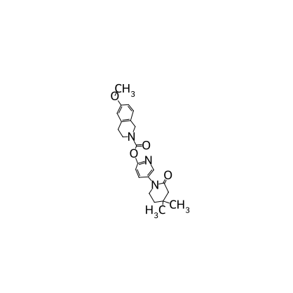 COc1ccc2c(c1)CCN(C(=O)Oc1ccc(N3CCC(C)(C)CC3=O)cn1)C2